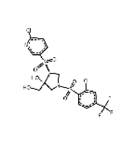 O=S(=O)(c1ccc(Cl)nc1)[C@H]1CN(S(=O)(=O)c2ccc(C(F)(F)F)cc2Cl)C[C@@]1(O)CO